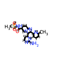 Cc1cccc(-c2nc3ccc(C(=O)NS(C)(=O)=O)cn3c2-c2ccnc(N)n2)n1